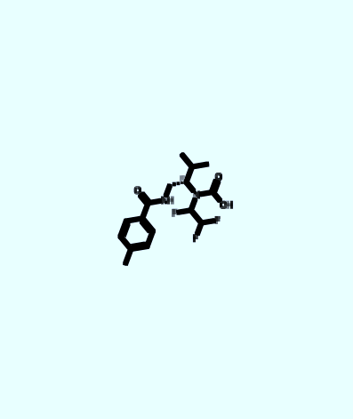 Cc1ccc(C(=O)NC[C@H](C(C)C)N(C(=O)O)C(F)C(F)F)cc1